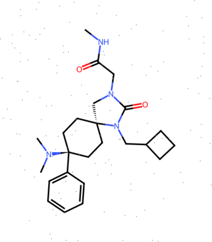 CNC(=O)CN1C[C@]2(CC[C@](c3ccccc3)(N(C)C)CC2)N(CC2CCC2)C1=O